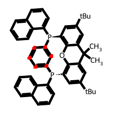 CC(C)(C)c1cc([P@@](c2ccccc2)c2cccc3ccccc23)c2c(c1)C(C)(C)c1cc(C(C)(C)C)cc([P@@](c3ccccc3)c3cccc4ccccc34)c1O2